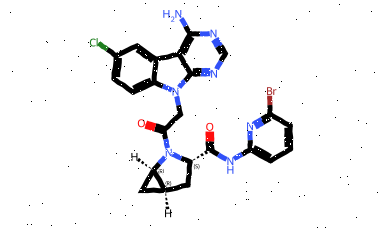 Nc1ncnc2c1c1cc(Cl)ccc1n2CC(=O)N1[C@@H]2C[C@@H]2C[C@H]1C(=O)Nc1cccc(Br)n1